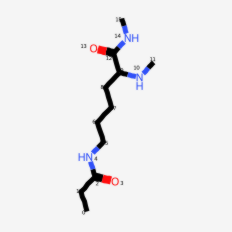 CCC(=O)NCCCCC(NC)C(=O)NC